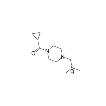 C[SH](C)CN1CCN(C(=O)C2CC2)CC1